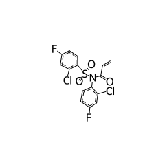 C=CC(=O)N(c1ccc(F)cc1Cl)S(=O)(=O)c1ccc(F)cc1Cl